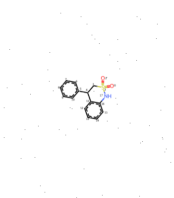 O=S1(=O)CC(c2ccccc2)c2ccccc2N1